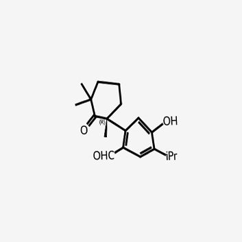 CC(C)c1cc(C=O)c([C@@]2(C)CCCC(C)(C)C2=O)cc1O